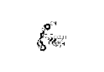 N#Cc1ccc(OCCCCN2CCN3CCCCC3C2)cc1.O=C(O)C=CC(=O)O.O=C(O)C=CC(=O)O